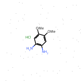 COc1cc(N)c(N)cc1OC.Cl